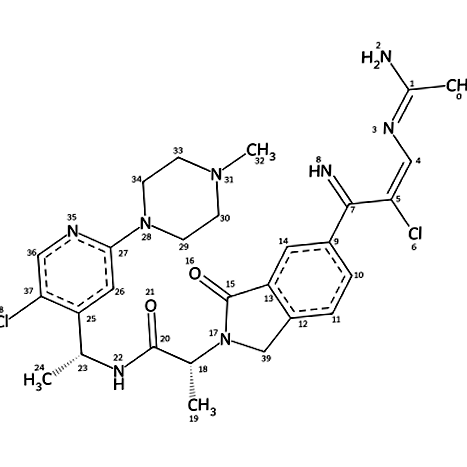 C/C(N)=N\C=C(\Cl)C(=N)c1ccc2c(c1)C(=O)N([C@H](C)C(=O)N[C@H](C)c1cc(N3CCN(C)CC3)ncc1Cl)C2